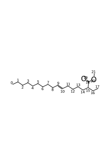 CCCCCCCCCC=CCCCCC(CC)C(=O)OC